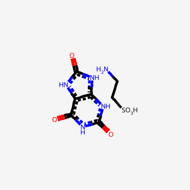 NCCS(=O)(=O)O.O=c1[nH]c(=O)c2[nH]c(=O)[nH]c2[nH]1